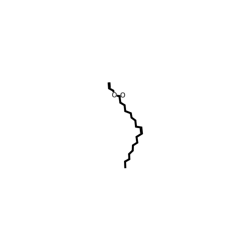 C=CCOC(=O)CCCCCCC/C=C\CCCCCCCC